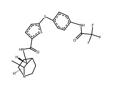 C[C@H]1[C@H](NC(=O)c2ccc(Sc3ccc(NC(=O)C(F)(F)F)cc3)s2)C2CCN1CC2